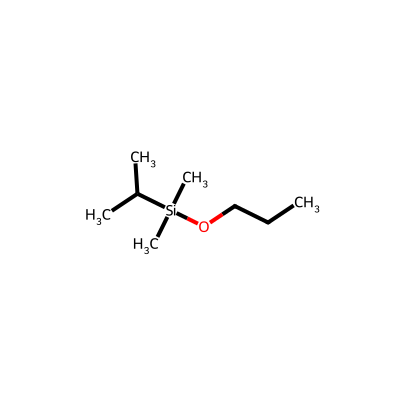 CCCO[Si](C)(C)C(C)C